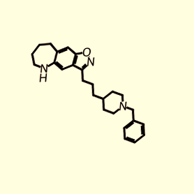 c1ccc(CN2CCC(CCCc3noc4cc5c(cc34)NCCCC5)CC2)cc1